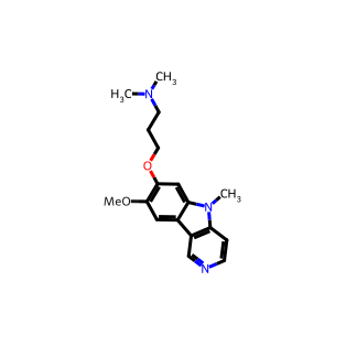 COc1cc2c3cnccc3n(C)c2cc1OCCCN(C)C